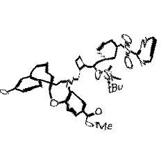 COC(=O)c1ccc2c(c1)N(C[C@@H]1CC[C@H]1[C@H](O[Si](C)(C)C(C)(C)C)[C@@H]1CCC[C@@H](S(=O)(=O)c3ncccn3)C1)CC1(CCCc3cc(Cl)ccc31)CO2